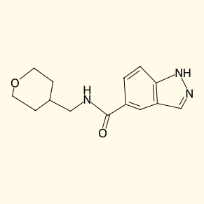 O=C(NCC1CCOCC1)c1ccc2[nH]ncc2c1